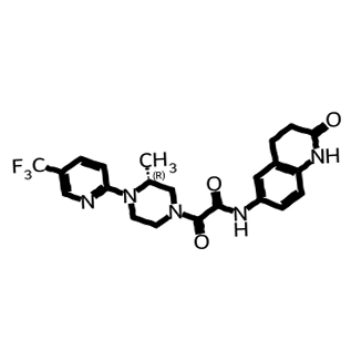 C[C@@H]1CN(C(=O)C(=O)Nc2ccc3c(c2)CCC(=O)N3)CCN1c1ccc(C(F)(F)F)cn1